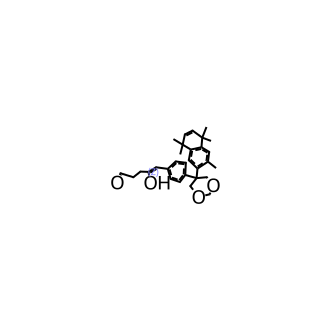 Cc1cc2c(cc1C1(c3ccc(/C=C(\O)CCC=O)cc3)COCOC1)C(C)(C)C=CC2(C)C